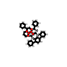 c1ccc(-c2ccc3oc(-n4c5ccccc5c5ccc6c7ccccc7n(-c7nc(-c8ccccc8)nc(-c8ccccc8)n7)c6c54)nc3c2)cc1